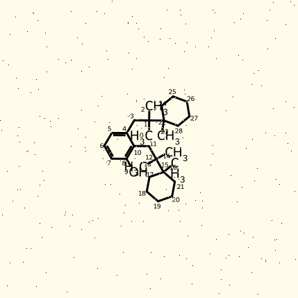 CC(C)(Cc1cccc(O)c1CC(C)(C)C1(C)CCCCC1)C1(C)CCCCC1